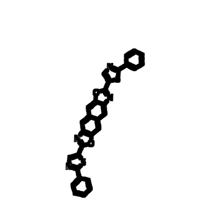 c1ccc(-c2ncc(-c3nc4cc5cc6oc(-c7cnc(-c8ccccc8)s7)nc6cc5cc4o3)s2)cc1